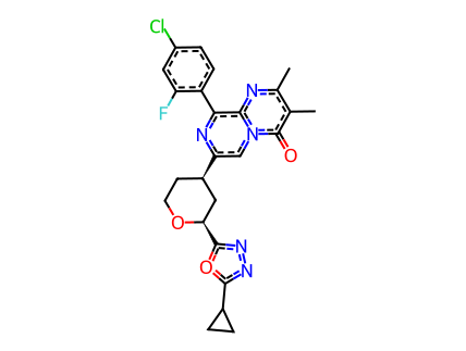 Cc1nc2c(-c3ccc(Cl)cc3F)nc([C@@H]3CCO[C@H](c4nnc(C5CC5)o4)C3)cn2c(=O)c1C